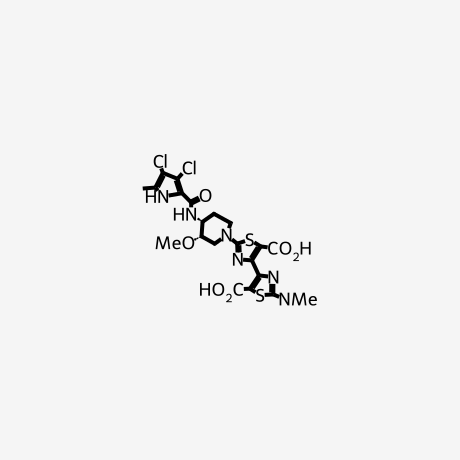 CNc1nc(-c2nc(N3CC[C@@H](NC(=O)c4[nH]c(C)c(Cl)c4Cl)[C@@H](OC)C3)sc2C(=O)O)c(C(=O)O)s1